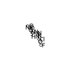 O=S(=O)=C(COCc1nc(-c2cc3c(Nc4ccc(OCc5cccc(F)c5)c(Cl)c4)ncnc3cn2)cs1)c1ccccn1